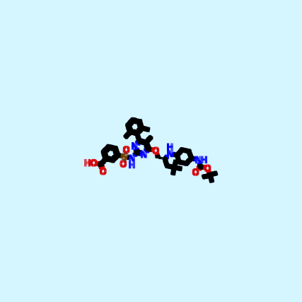 Cc1cccc(C)c1-c1nc(NS(=O)(=O)c2cccc(C(=O)O)c2)nc(OC[C@@H](CC(C)(C)C)NC2CCC(NC(=O)OC(C)(C)C)CC2)c1C